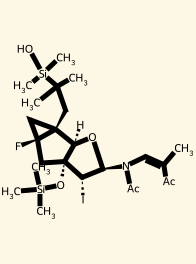 CC(=O)/C(C)=C\N(C(C)=O)[C@@H]1O[C@H]2[C@](O[Si](C)(C)C)(C[C@]3(F)C[C@]23CC(C)(C)[Si](C)(C)O)[C@H]1I